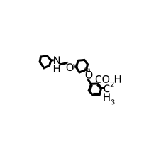 Cc1cccc(CO[C@@H]2CCC[C@H](OCCNC3CCCCC3)C2)c1C(=O)O